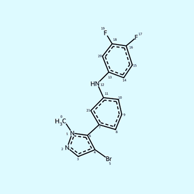 Cn1ncc(Br)c1-c1cccc(Nc2ccc(F)c(F)c2)c1